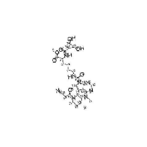 COC(=O)C(CCCCNC(=O)n1ccc2c(N(C)[C@H]3CN(C(=O)CC#N)CC[C@H]3C)ncnc21)NC(=O)C1C(O)C1O